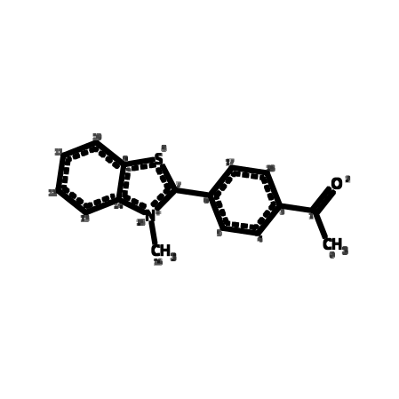 CC(=O)c1ccc(-c2sc3ccccc3[n+]2C)cc1